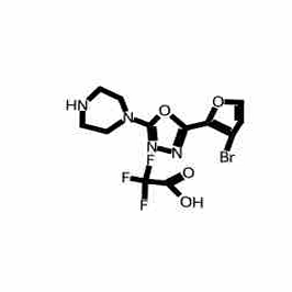 Brc1ccoc1-c1nnc(N2CCNCC2)o1.O=C(O)C(F)(F)F